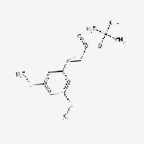 COc1cc(/C=C/C(=O)OC(C)(C)C)cc(OC)c1